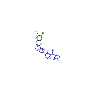 C=C1c2nc(-c3ccnc(Nc4ccnn4C)n3)cn2C[C@H](C)N1Cc1ccc(F)c(Cl)c1